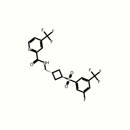 O=C(NC[C@H]1C[C@H](S(=O)(=O)c2cc(F)cc(C(F)(F)F)c2)C1)c1cc(C(F)(F)F)ccn1